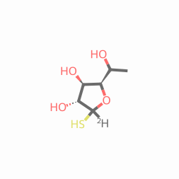 [2H]C1(S)O[C@H](C(C)O)[C@H](O)[C@H]1O